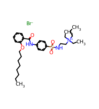 CCCCCCCCOc1ccccc1C(=O)Nc1ccc(S(=O)(=O)NCC[N+](CC)(CC)CCC)cc1.[Br-]